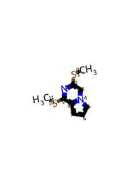 CSc1cn2cccc2c(SC)n1